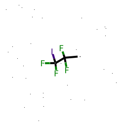 [CH2]C(F)(F)C(F)(F)I